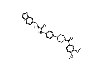 COc1ccc(C(=O)N2CCC(c3ccc(NC(=O)NCc4ccn5ccnc5c4)cc3)CC2)nc1OC